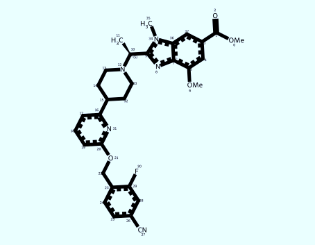 COC(=O)c1cc(OC)c2nc([C@H](C)N3CCC(c4cccc(OCc5ccc(C#N)cc5F)n4)CC3)n(C)c2c1